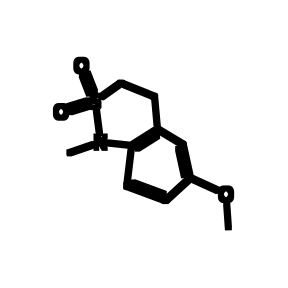 COc1ccc2c(c1)CCS(=O)(=O)N2C